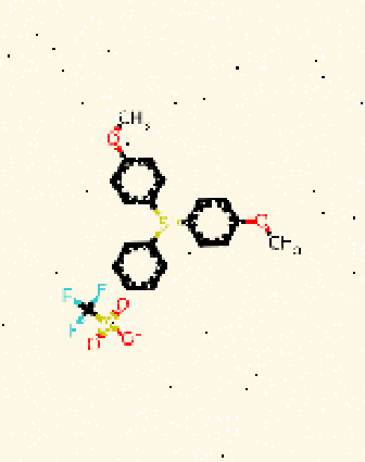 COc1ccc([S+](c2ccccc2)c2ccc(OC)cc2)cc1.O=S(=O)([O-])C(F)(F)F